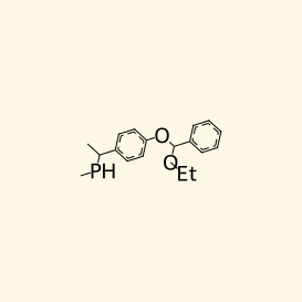 CCOC(Oc1ccc(C(C)PC)cc1)c1ccccc1